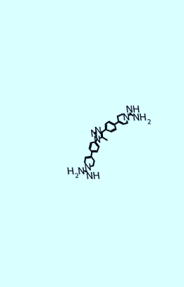 Cc1c(-c2ccc(C3=CCN(C(=N)N)CC3)cc2)nnn1-c1ccc(C2=CCN(C(=N)N)CC2)cc1